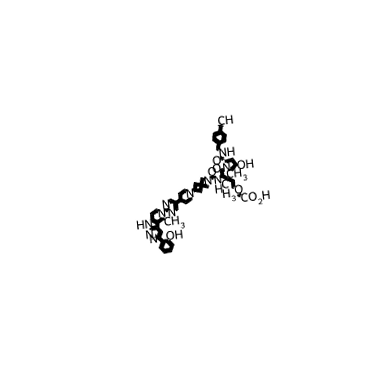 C#Cc1ccc(CNC(=O)[C@@H]2C[C@@H](O)CN2C(=O)[C@H](NC(=O)N2CC3(CC(N4CCC(c5cnc(N6CCc7[nH]c8nnc(-c9ccccc9O)cc8c7[C@H]6C)nc5)CC4)C3)C2)C(C)(C)CCOCC(=O)O)cc1